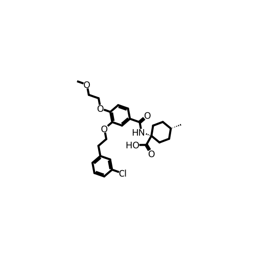 COCCOc1ccc(C(=O)N[C@]2(C(=O)O)CC[C@H](C)CC2)cc1OCCc1cccc(Cl)c1